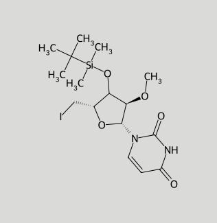 CO[C@@H]1C(O[Si](C)(C)C(C)(C)C)[C@@H](CI)O[C@H]1n1ccc(=O)[nH]c1=O